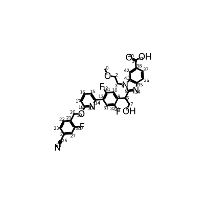 COCCn1c(C(CO)c2cc(F)c(-c3cccc(OCc4ccc(C#N)cc4F)n3)cc2F)nc2ccc(C(=O)O)cc21